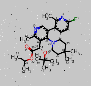 Cc1nc(F)ccc1-c1cnc(C)c([C@H](OC(C)(C)C)C(=O)OC(C)C)c1N1CCC(C)(C)CC1